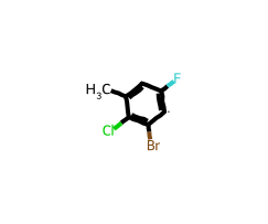 Cc1cc(F)[c]c(Br)c1Cl